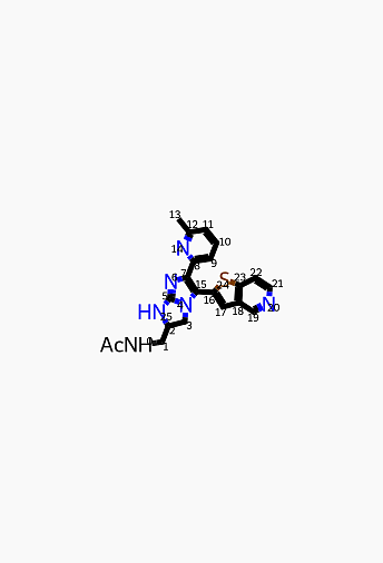 CC(=O)NCC1Cn2c(nc(-c3cccc(C)n3)c2-c2cc3cnccc3s2)N1